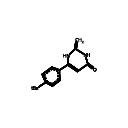 C=C1NC(=O)C=C(c2ccc(C(C)(C)C)cc2)N1